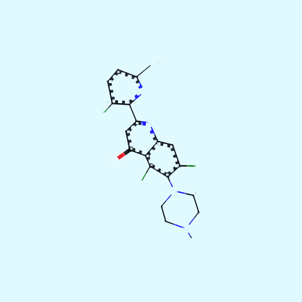 CN1CCN(c2c(F)cc3[nH]c(-c4nc(C#N)ccc4Cl)cc(=O)c3c2F)CC1